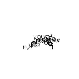 COC(=O)C(C)NP(=O)(OC[C@H]1S[C@@H](n2ccc(N)nc2=O)[C@@H](F)[C@@H]1O)Oc1ccc(I)cc1